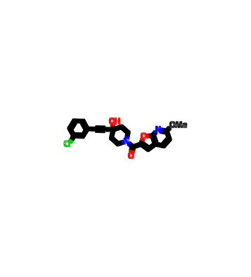 COc1ccc2cc(C(=O)N3CCC(O)(C#Cc4cccc(Cl)c4)CC3)oc2n1